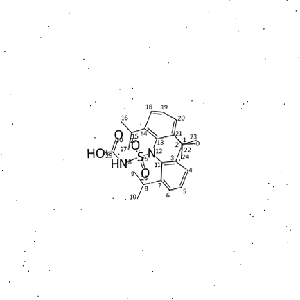 CC(C)c1cccc(C(C)C)c1N(c1c(C(C)C)cccc1C(C)C)S(=O)(=O)NC(=O)O